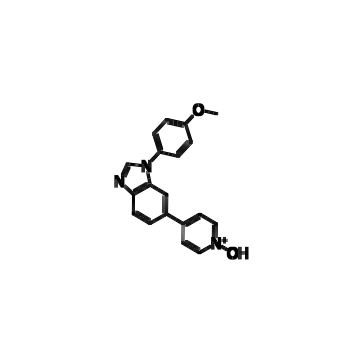 COc1ccc(-n2cnc3ccc(-c4cc[n+](O)cc4)cc32)cc1